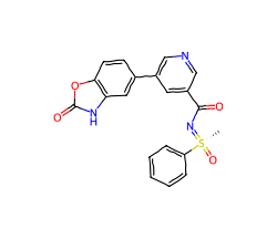 C[S@@](=O)(=NC(=O)c1cncc(-c2ccc3oc(=O)[nH]c3c2)c1)c1ccccc1